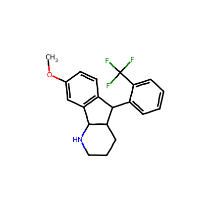 COc1ccc2c(c1)C1NCCCC1C2c1ccccc1C(F)(F)F